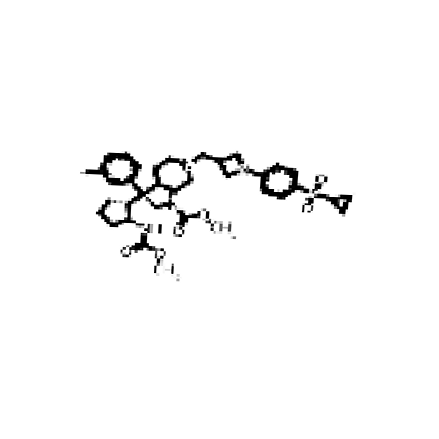 COC(=O)NC[C@@](c1cccc(F)c1)(C1CCN(CC2CN(c3ccc(S(=O)(=O)C4CC4)cc3)C2)CC1)[C@H]1CCC[C@@H]1NC(=O)OC